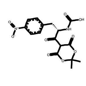 CC1(C)OC(=O)C(C(=O)[C@H](Cc2ccc([N+](=O)[O-])cc2)NC(=O)O)C(=O)O1